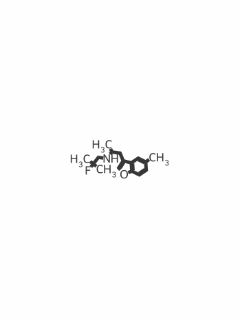 Cc1ccc2occ(CC(C)NCC(C)(C)F)c2c1